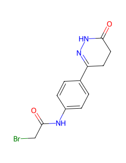 O=C1CCC(c2ccc(NC(=O)CBr)cc2)=NN1